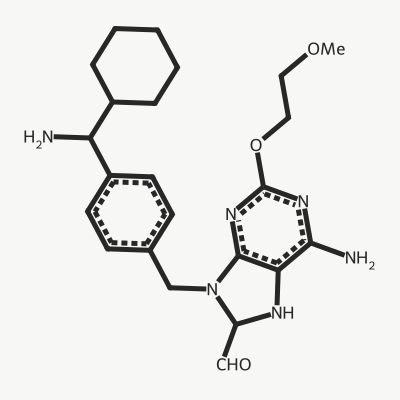 COCCOc1nc(N)c2c(n1)N(Cc1ccc(C(N)C3CCCCC3)cc1)C(C=O)N2